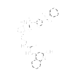 Cc1cc(NC(=O)NCCN2CCC(NS(=O)(=O)c3cc(S(=O)(=O)c4ccccc4)cs3)C2)c2ccccc2n1